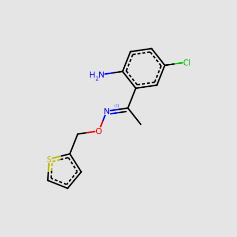 C/C(=N\OCc1cccs1)c1cc(Cl)ccc1N